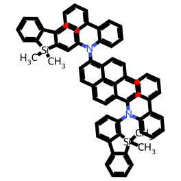 C[Si]1(C)c2ccccc2-c2ccc(N(c3ccccc3-c3ccccc3)c3ccc4ccc5c(N(c6ccccc6-c6ccccc6)c6cccc7c6[Si](C)(C)c6ccccc6-7)ccc6ccc3c4c65)cc21